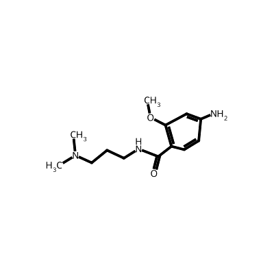 COc1cc(N)ccc1C(=O)NCCCN(C)C